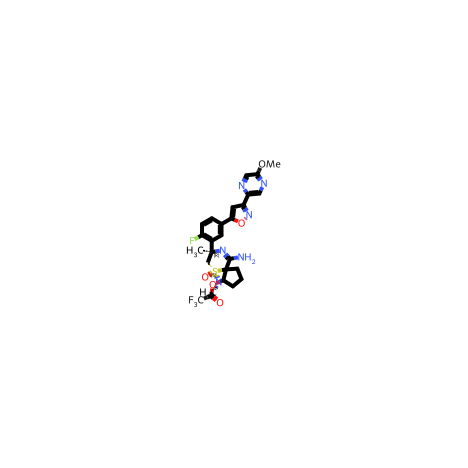 CN=[S@]1(=O)C[C@@](C)(c2cc(-c3cc(-c4cnc(OC)cn4)no3)ccc2F)N=C(N)C12CCCC2OC(=O)C(F)(F)F